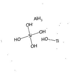 O[Si](O)(O)O.[AlH3].[OH][Ti]